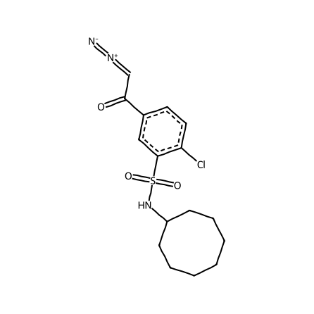 [N-]=[N+]=CC(=O)c1ccc(Cl)c(S(=O)(=O)NC2CCCCCCC2)c1